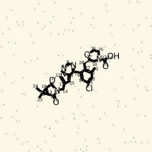 Cc1cc(Cl)cc(-c2ncnn3cc(CN4C(=O)C5C(C4=O)C5(C)C)cc23)c1C[C@@H]1CN(C(=O)O)CCO1